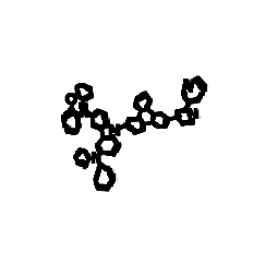 c1ccc(N(c2ccccc2)c2ccc3c(c2)c2cc(N4c5ccccc5Oc5ccccc54)ccc2n3-c2ccc3c4ccc(-c5ccnc(-c6cccnc6)c5)cc4c4ccccc4c3c2)cc1